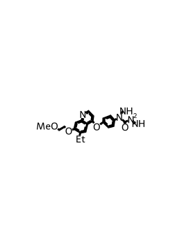 CCc1cc2c(Oc3ccc(N(N)C(=O)N=N)cc3)ccnc2cc1OCCOC